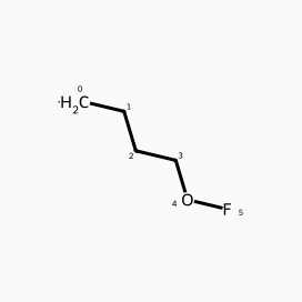 [CH2]CCCOF